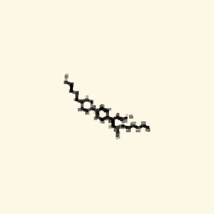 CCCCCCC1CCC(C2=CCC(c3cc(F)c(CCCCC)c(F)c3)C=C2)CC1